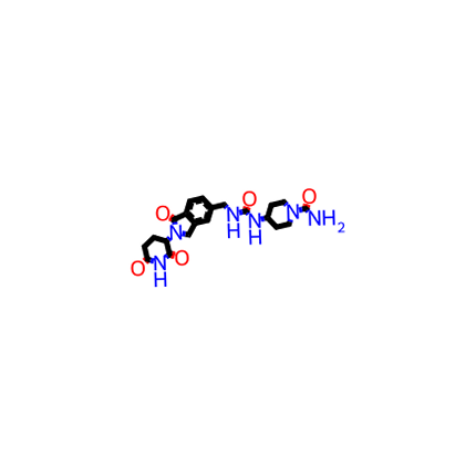 NC(=O)N1CCC(NC(=O)NCc2ccc3c(c2)CN(C2CCC(=O)NC2=O)C3=O)CC1